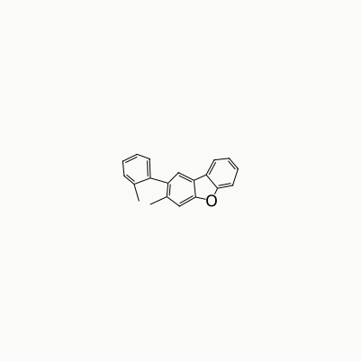 Cc1ccccc1-c1cc2c(cc1C)oc1ccccc12